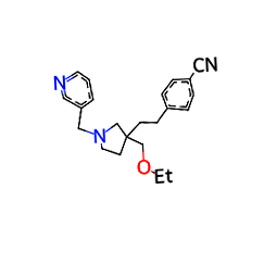 CCOCC1(CCc2ccc(C#N)cc2)CCN(Cc2cccnc2)C1